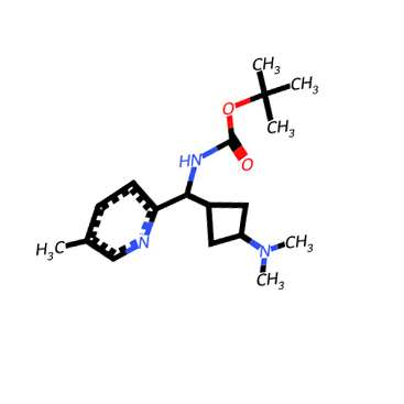 Cc1ccc(C(NC(=O)OC(C)(C)C)C2CC(N(C)C)C2)nc1